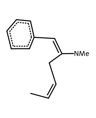 C/C=C\CC(=Cc1ccccc1)NC